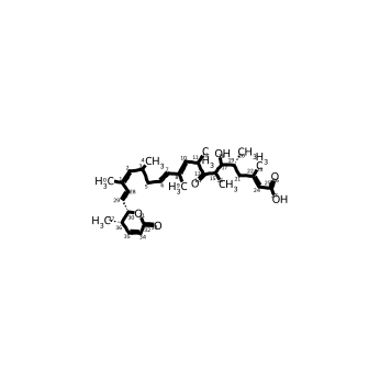 CC(=C/C(C)C/C=C/C(C)=C/C(C)C(=O)C(C)C(O)[C@H](C)C/C(C)=C/C(=O)O)/C=C/[C@@H]1OC(=O)C=C[C@@H]1C